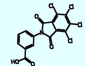 O=C(O)c1cccc(N2C(=O)c3c(Cl)c(Cl)c(Cl)c(Cl)c3C2=O)c1